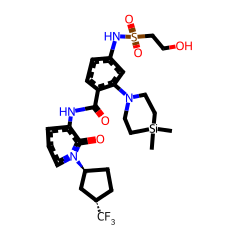 C[Si]1(C)CCN(c2cc(NS(=O)(=O)CCO)ccc2C(=O)Nc2cccn([C@H]3CC[C@H](C(F)(F)F)C3)c2=O)CC1